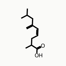 C=C(/C=C\CC(C)C(=O)O)CC(C)C